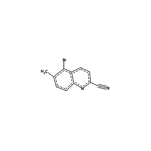 Cc1ccc2nc(C#N)ccc2c1Br